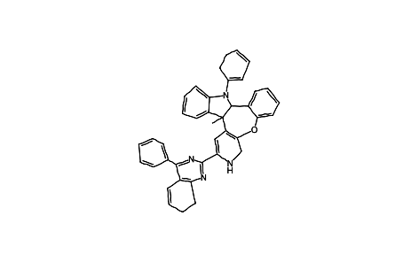 CC12C3=C(CNC(c4nc5c(c(-c6ccccc6)n4)C=CCC5)=C3)Oc3ccccc3C1N(C1=CC=CCC1)c1ccccc12